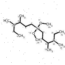 CCN(C)C(C)CC[Si](CCC(C)N(C)CC)(OC)OC